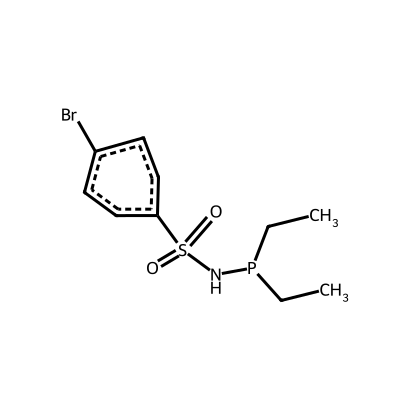 CCP(CC)NS(=O)(=O)c1ccc(Br)cc1